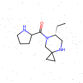 CC[C@@H]1CNC2(CC2)CN1C(=O)C1CCCN1